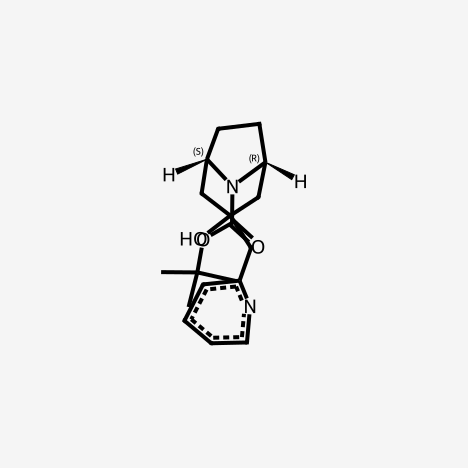 CC(C)(C)OC(=O)N1[C@@H]2CC[C@H]1CC(O)(Cc1ccccn1)C2